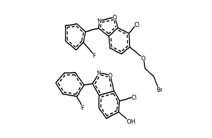 Fc1ccccc1-c1noc2c(Cl)c(OCCBr)ccc12.Oc1ccc2c(-c3ccccc3F)noc2c1Cl